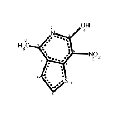 Cc1nc(O)c([N+](=O)[O-])c2sccc12